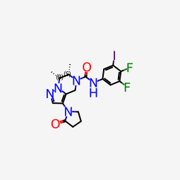 C[C@@H]1[C@H](C)N(C(=O)Nc2cc(F)c(F)c(I)c2)Cc2c(N3CCCC3=O)cnn21